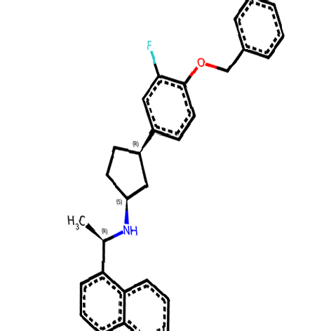 C[C@@H](N[C@H]1CC[C@@H](c2ccc(OCc3ccccc3)c(F)c2)C1)c1cccc2ccccc12